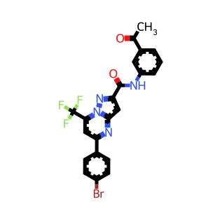 CC(=O)c1cccc(NC(=O)c2cc3nc(-c4ccc(Br)cc4)cc(C(F)(F)F)n3n2)c1